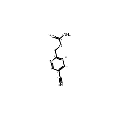 N#Cc1cnc(COC(N)=O)nc1